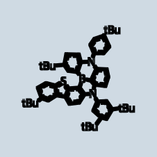 CC(C)(C)c1ccc(N2c3ccc(C(C)(C)C)cc3B3c4c2cccc4N(c2cc(C(C)(C)C)cc(C(C)(C)C)c2)c2ccc4c(sc5ccc(C(C)(C)C)cc54)c23)cc1